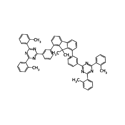 Cc1ccccc1-c1nc(-c2cccc(-c3cccc4c3C(C)(C)c3c(-c5cccc(-c6nc(-c7ccccc7C)nc(-c7ccccc7C)n6)c5)cccc3-4)c2)nc(-c2ccccc2C)n1